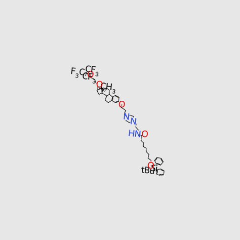 CC(C)(C)[Si](OCCCCCCCCC(=O)NCCCN1CCN(CCCOc2ccc3c(c2)CCC2C3CC[C@@]3(C)C2CC[C@@H]3OCCCOC(C(F)(F)F)(C(F)(F)F)C(F)(F)F)CC1)(c1ccccc1)c1ccccc1